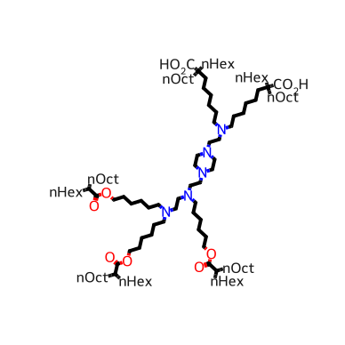 CCCCCCCCC(CCCCCC)C(=O)OCCCCCCN(CCCCCCOC(=O)C(CCCCCC)CCCCCCCC)CCN(CCCCCCOC(=O)C(CCCCCC)CCCCCCCC)CCN1CCN(CCN(CCCCCCC(CCCCCC)(CCCCCCCC)C(=O)O)CCCCCCC(CCCCCC)(CCCCCCCC)C(=O)O)CC1